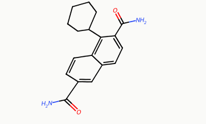 NC(=O)c1ccc2c(C3CCCCC3)c(C(N)=O)ccc2c1